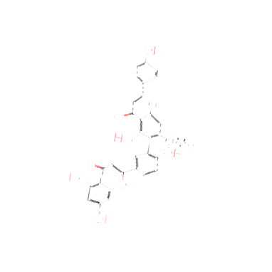 COc1cc2oc(-c3ccc(O)cc3)cc(=O)c2c(O)c1-c1cc(-c2cc(=O)c3c(O)cc(O)cc3o2)ccc1O